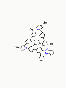 CC(C)(C)c1ccnc(-c2ccc(-c3cc(C(C)(C)C)ccc3C3CC(c4ccccc4-c4ccc5c(c4)c4ccccc4n4c6ccccc6nc54)CC(c4ccc(C(C)(C)C)cc4-c4ccc(-c5cc(C(C)(C)C)ccn5)cc4)C3)cc2)c1